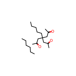 CCCCCC.CCCCCC(CC(C)=O)(CC(C)=O)CC(C)=O